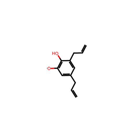 C=CCc1cc([O])c(O)c(CC=C)c1